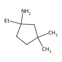 CCC1(N)CCC(C)(C)C1